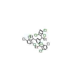 CCC(c1cc(C(CC)C2C(Cl)C3C=C(Cl)C2(Cl)C3)cc(C(CC)C2C(Cl)C3C=C(Cl)C2(Cl)C3)c1)C1C(Cl)C2C=C(Cl)C1(Cl)C2